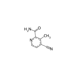 Cc1c(C#N)ccnc1C(N)=O